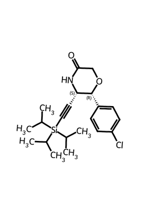 CC(C)[Si](C#C[C@@H]1NC(=O)CO[C@@H]1c1ccc(Cl)cc1)(C(C)C)C(C)C